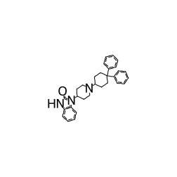 O=c1[nH]c2ccccc2n1C1CCN(C2CCC(c3ccccc3)(c3ccccc3)CC2)CC1